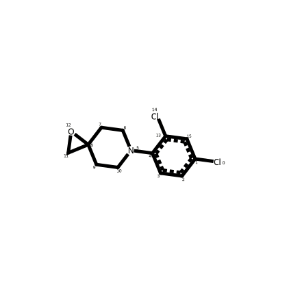 Clc1ccc(N2CCC3(CC2)CO3)c(Cl)c1